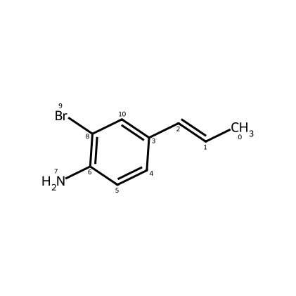 CC=Cc1ccc(N)c(Br)c1